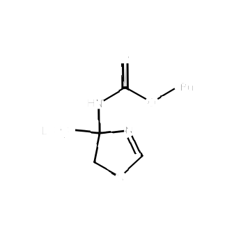 CCOC(=O)C1(NC(=O)OC(C)(C)C)CSC=N1